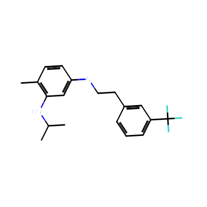 Cc1ccc(NCCc2cccc(C(F)(F)F)c2)cc1NC(C)C